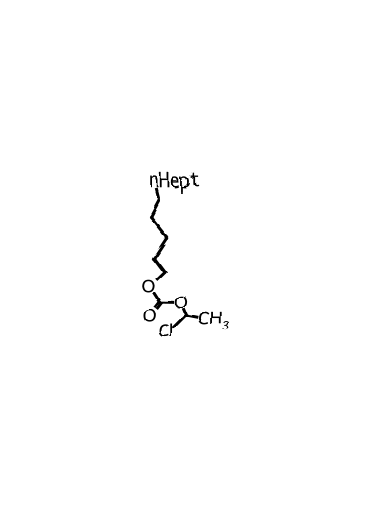 CCCCCCCCCCCCOC(=O)OC(C)Cl